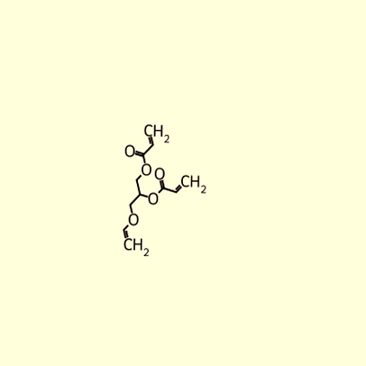 C=COCC(COC(=O)C=C)OC(=O)C=C